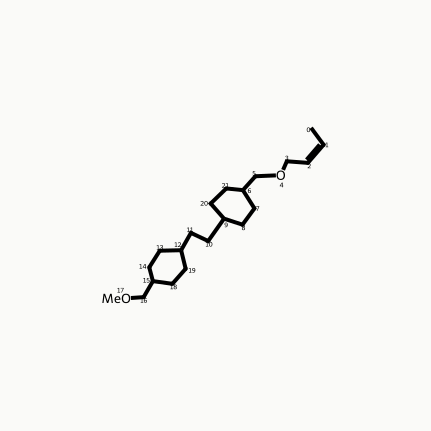 C/C=C\COCC1CCC(CCC2CCC(COC)CC2)CC1